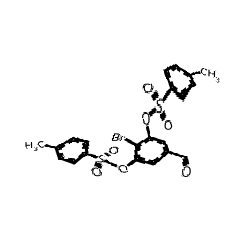 Cc1ccc(S(=O)(=O)Oc2cc(C=O)cc(OS(=O)(=O)c3ccc(C)cc3)c2Br)cc1